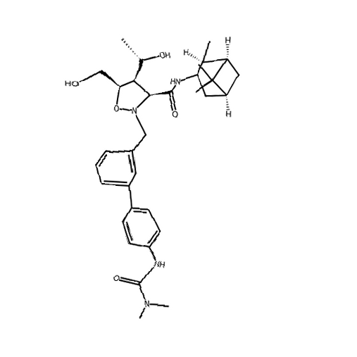 C[C@H](O)[C@@H]1[C@H](CO)ON(Cc2cccc(-c3ccc(NC(=O)N(C)C)cc3)c2)[C@@H]1C(=O)NC1C[C@@H]2C[C@H]([C@@H]1C)C2(C)C